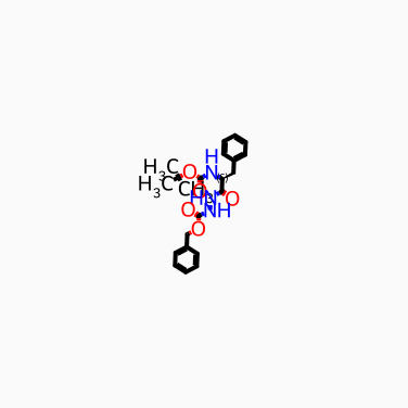 CC(C)(C)OC(=O)N[C@@H](Cc1ccccc1)C(=O)NNC(=O)OCc1ccccc1